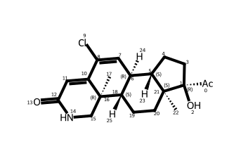 CC(=O)[C@@]1(O)CC[C@H]2[C@@H]3C=C(Cl)C4=CC(=O)NC[C@]4(C)[C@H]3CC[C@@]21C